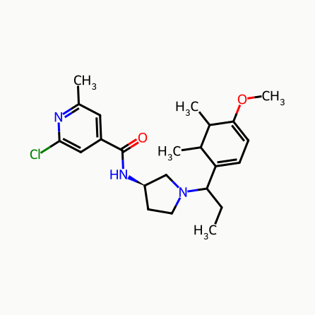 CCC(C1=CC=C(OC)C(C)C1C)N1CC[C@@H](NC(=O)c2cc(C)nc(Cl)c2)C1